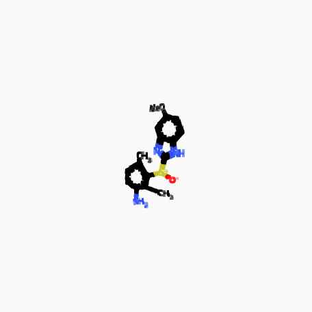 COc1ccc2[nH]c([S+]([O-])c3c(C)ccc(N)c3C)nc2c1